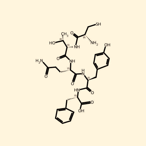 C[C@@H](O)[C@H](NC(=O)[C@@H](N)CS)C(=O)N[C@@H](CCC(N)=O)C(=O)N[C@@H](Cc1ccc(O)cc1)C(=O)N[C@@H](Cc1ccccc1)C(=O)O